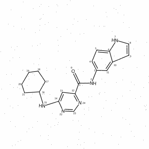 O=C(Nc1ccc2[nH]ccc2c1)c1cc(NC2CCCCC2)ncn1